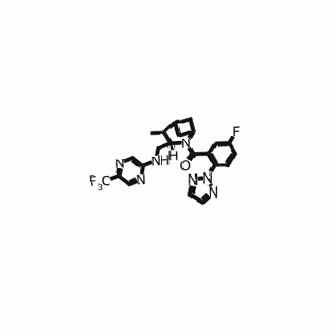 CC1C2CC(C2)N(C(=O)c2cc(F)ccc2-n2nccn2)[C@@H]1CNc1cnc(C(F)(F)F)cn1